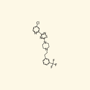 FC(F)(F)c1cccc(CCN2CCN(c3nc(-c4cc(Cl)ccn4)ns3)CC2)c1